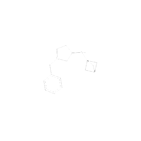 c1ccc(CN2CCC(NC34CC(C3)C4)C2)cc1